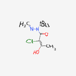 C=NN(C(=O)/C(Cl)=C(\C)O)C(C)(C)C